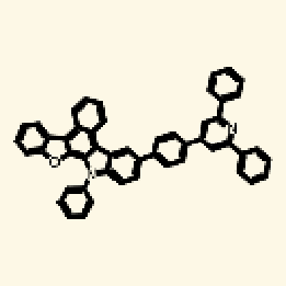 c1ccc(-c2cc(-c3ccc(-c4ccc5c(c4)c4c6ccccc6c6c7ccccc7oc6c4n5-c4ccccc4)cc3)cc(-c3ccccc3)n2)cc1